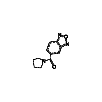 O=C(c1ccc2nonc2c1)N1CCCC1